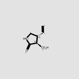 C=C[C@H]1CNC(=O)[C@@H]1C(=O)O